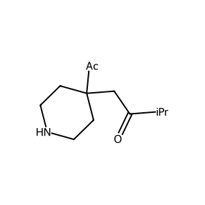 CC(=O)C1(CC(=O)C(C)C)CCNCC1